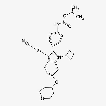 CC(C)OC(=O)Nc1ccc(-c2c(C#CC#N)c3ccc(OC4CCOCC4)cc3n2C2CCC2)cc1